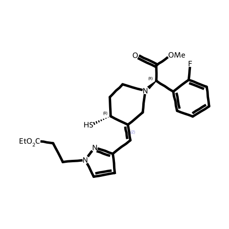 CCOC(=O)CCn1ccc(/C=C2/CN([C@@H](C(=O)OC)c3ccccc3F)CC[C@H]2S)n1